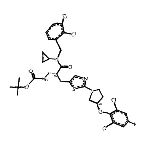 CC(C)(C)OC(=O)NC[C@@H](Cc1cnc(N2CC[C@@H](Oc3c(Cl)cc(F)cc3Cl)C2)s1)C(=O)N(Cc1cccc(Cl)c1Cl)C1CC1